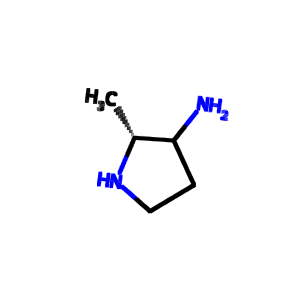 C[C@H]1NCCC1N